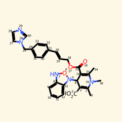 CC1=C(C(=O)O)C(N2ONc3ccccc32)C(C(=O)OCC=Cc2ccc(Cn3ccnc3)cc2)=C(C)N1C